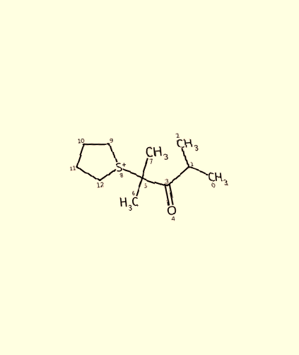 CC(C)C(=O)C(C)(C)[S+]1CCCC1